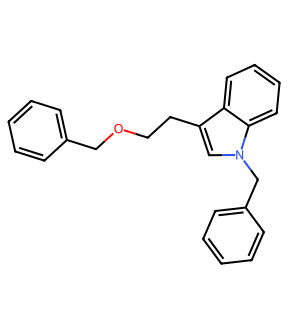 c1ccc(COCCc2cn(Cc3ccccc3)c3ccccc23)cc1